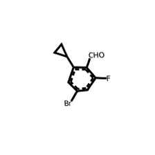 O=Cc1c(F)cc(Br)cc1C1CC1